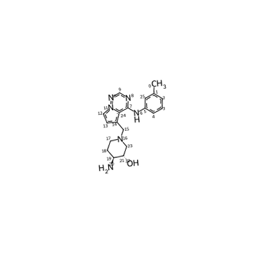 Cc1cccc(Nc2ncnn3ccc(CN4CC[C@H](N)[C@@H](O)C4)c23)c1